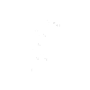 O=C(c1nc2c(C(F)(F)F)cccn2c1Cl)N1CCN(C2C[C@@H]3C[C@@H]3C2)C(=O)C1